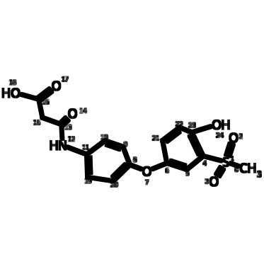 CS(=O)(=O)c1cc(Oc2ccc(NC(=O)CC(=O)O)cc2)ccc1O